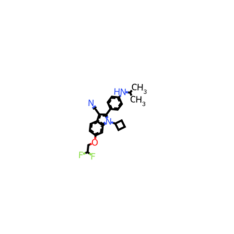 CC(C)Nc1ccc(-c2c(C#N)c3ccc(OCC(F)F)cc3n2C2CCC2)cc1